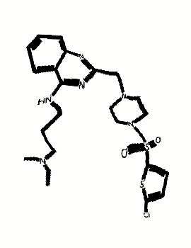 CN(C)CCCNc1nc(CN2CCN(S(=O)(=O)c3ccc(Cl)s3)CC2)nc2ccccc12